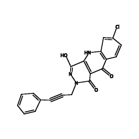 O=c1c2ccc(Cl)cc2[nH]c2c(O)nn(CC#Cc3ccccc3)c(=O)c12